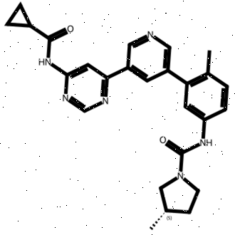 Cc1ccc(NC(=O)N2CC[C@H](C)C2)cc1-c1cncc(-c2cc(NC(=O)C3CC3)ncn2)c1